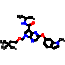 CC(C)NC(=O)c1cn(COCC[Si](C)(C)C)c2ncc(Oc3ccc4ccn(C)c4c3)nc12